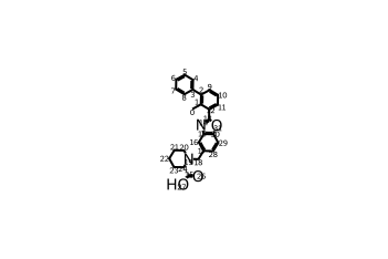 Cc1c(-c2ccccc2)cccc1-c1nc2cc(CN3CCCC[C@H]3C(=O)O)ccc2o1